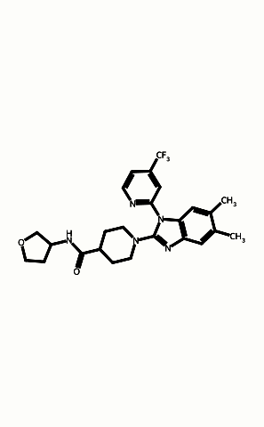 Cc1cc2nc(N3CCC(C(=O)NC4CCOC4)CC3)n(-c3cc(C(F)(F)F)ccn3)c2cc1C